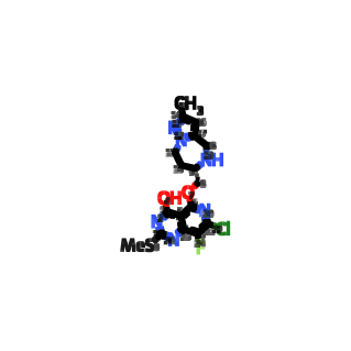 CSc1nc(O)c2c(OC[C@@H]3CCn4nc(C)cc4CN3)nc(Cl)c(F)c2n1